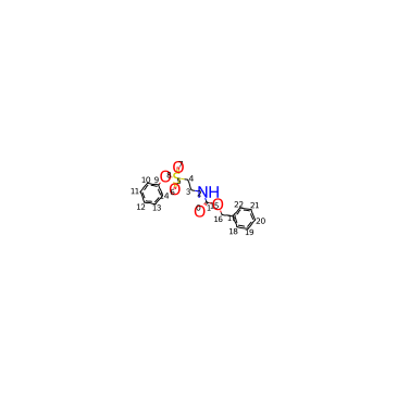 O=C(NCCS(=O)(=O)Oc1ccccc1)OCc1ccccc1